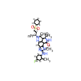 CCCC(C=CS(=O)(=O)c1ccccc1)N[C@H](C=O)c1c(C)[nH]c(=O)c2c1ccc1nc(Nc3ccc(F)cc3C)n(C)c12